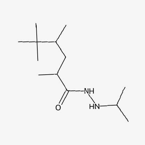 CC(C)NNC(=O)C(C)CC(C)C(C)(C)C